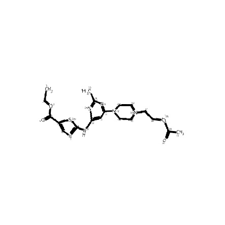 CCOC(=O)c1cnc(Nc2cc(N3CCN(CCOC(C)=O)CC3)nc(C)n2)s1